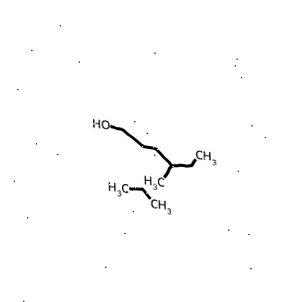 CCC.CCC(C)CCCO